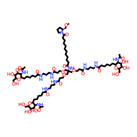 COC[C@@H]1CCCN1C(=O)CCCCCCCCCCC(=O)NC(COCCC(=O)NCCCNC(=O)CCCCCC1OC(CO)C(O)C(O)C1NC(C)=O)(COCCC(=O)NCCCNC(=O)CCCCCC1OC(CO)C(O)C(O)C1NC(C)=O)COCCC(=O)NCCCNC(=O)CCCCCC1OC(CO)C(O)C(O)C1NC(C)=O